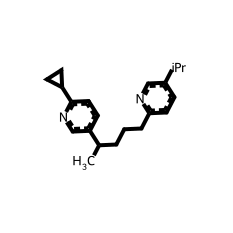 CC(C)c1ccc(CCCC(C)c2ccc(C3CC3)nc2)nc1